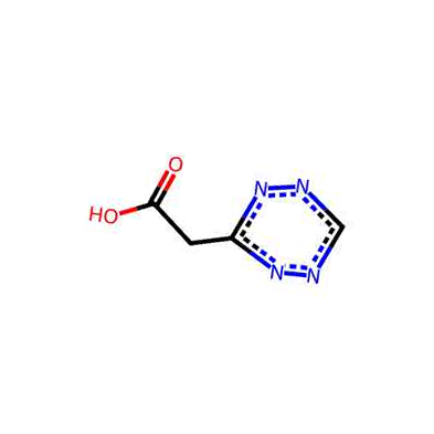 O=C(O)Cc1nncnn1